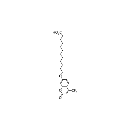 O=C(O)CCCCCCCCCCCOc1ccc2c(C(F)(F)F)cc(=O)oc2c1